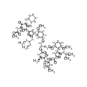 CCC(CC)Cn1nc(C(=O)N[C@@H](CC2CCCCC2)C(=O)NCC(=O)OC)cc1-c1cc(OCCOC(=O)CN(C)C(=O)C[C@H](C=C(C)C)NC(=O)c2cc(-c3c(OC)cccc3OC)n(CC(C)C)n2)ccc1OC